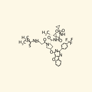 C=C[C@@H]1CC1(NC(=O)[C@@H]1C[C@@H](Oc2nc(-c3ccc(C(F)(F)F)cc3)nc3c2oc2ccccc23)CN1C(=O)CCCNC(=S)N(C)C)C(=O)NS(=O)(=O)C1CC1